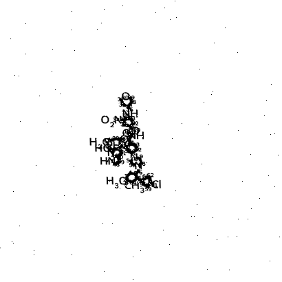 CC1(C)CCC(CN2CCN(c3ccc(C(=O)NS(=O)(=O)c4ccc(NCC5CCOCC5)c([N+](=O)[O-])c4)c(N4CCC[PH](C)(O)c5nc6[nH]ccc6cc54)c3)CC2)=C(c2ccc(Cl)cc2)C1